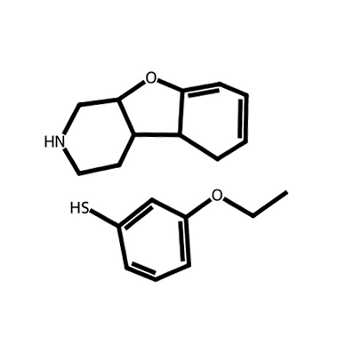 C1=CCC2C(=C1)OC1CNCCC12.CCOc1cccc(S)c1